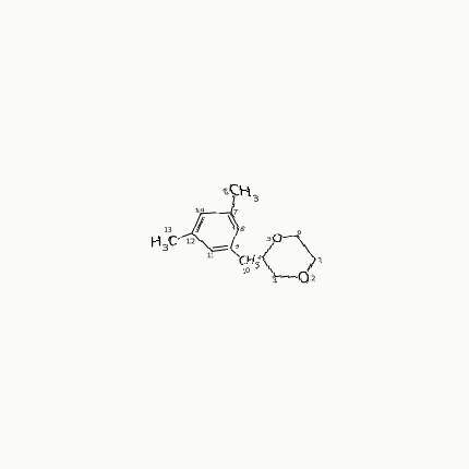 C1COCCO1.Cc1cc(C)cc(C)c1